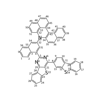 c1ccc2c(-c3nc(-c4ccc5c(c4)sc4ccccc45)c4sc5ccccc5c4n3)cc(N3c4ccc5ccccc5c4-c4cccc5cccc3c45)cc2c1